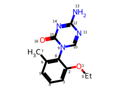 CCOc1cccc(C)c1-n1cnc(N)nc1=O